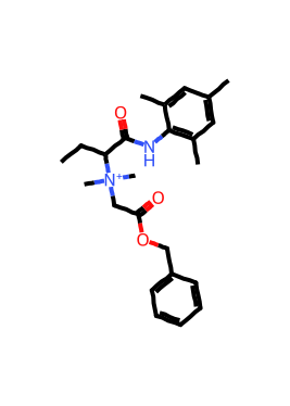 CCC(C(=O)Nc1c(C)cc(C)cc1C)[N+](C)(C)CC(=O)OCc1ccccc1